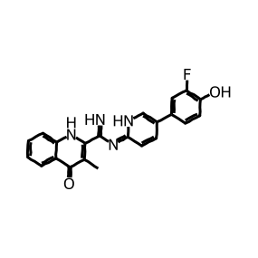 Cc1c(C(=N)/N=c2/ccc(-c3ccc(O)c(F)c3)c[nH]2)[nH]c2ccccc2c1=O